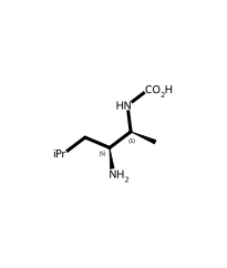 CC(C)C[C@H](N)[C@H](C)NC(=O)O